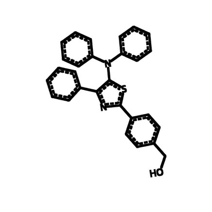 OCc1ccc(-c2nc(-c3ccccc3)c(N(c3ccccc3)c3ccccc3)s2)cc1